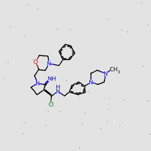 CN1CCN(c2ccc(CN/C(Cl)=C3/CCN(CC4CN(Cc5ccccc5)CCO4)C3=N)cc2)CC1